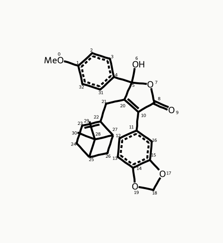 COc1ccc(C2(O)OC(=O)C(c3ccc4c(c3)OCO4)=C2CC2=CCC3CC2C3(C)C)cc1